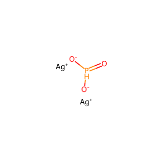 O=[PH]([O-])[O-].[Ag+].[Ag+]